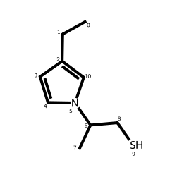 CCc1ccn(C(C)CS)c1